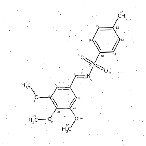 COc1cc(/C=N/S(=O)(=O)c2ccc(C)cc2)cc(OC)c1OC